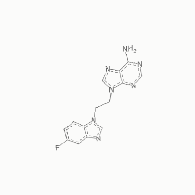 Nc1ncnc2c1ncn2CCn1cnc2cc(F)ccc21